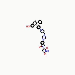 C[C@H]1Cc2cc(O)ccc2[C@@H](c2ccc(N3CCC(CN4CCN(c5ccc6c(c5)CN([C@H]5CCC(=O)NC5=O)C6=O)CC4)CC3)cc2)[C@H]1c1ccccc1